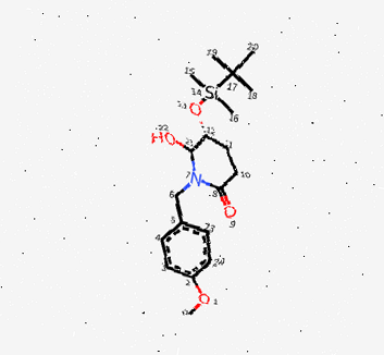 COc1ccc(CN2C(=O)CC[C@@H](O[Si](C)(C)C(C)(C)C)C2O)cc1